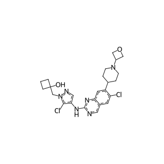 OC1(Cn2ncc(Nc3ncc4cc(Cl)c(C5CCN(C6COC6)CC5)cc4n3)c2Cl)CCC1